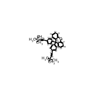 C[Si](C)(C)C#Cc1ccc(C2(c3ccc(C#C[Si](C)(C)C)cc3)c3ccccc3Oc3ccccc32)cc1